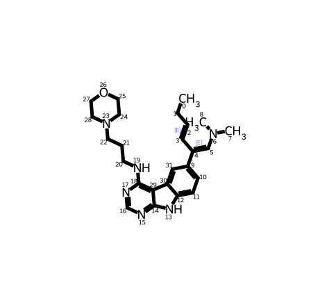 CC/C=C/C(=C\N(C)C)c1ccc2[nH]c3ncnc(NCCCN4CCOCC4)c3c2c1